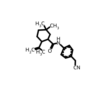 C=C(C)C1CCC(C)(C)CC1C(=O)Nc1ccc(CC#N)cc1